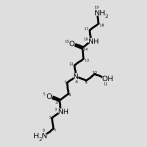 NCCNC(=O)CCN(CCO)CCC(=O)NCCN